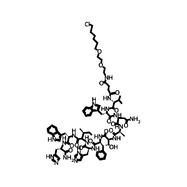 CC[C@H](C)C(NC(=O)[C@H](Cc1cnc[nH]1)NC(=O)[C@H](Cc1ccccc1)NC(=O)C(NC(=O)[C@H](C)NC(=O)C(CC(N)=O)NC(=O)[C@H](Cc1c[nH]c2ccccc12)NC(=O)[C@H](NC(=O)CCC(=O)NCCOCCOCCCCCCCl)C(C)C)[C@@H](C)O)C(=O)N[C@@H](Cc1c[nH]c2ccccc12)C(=O)N[C@@H](Cc1cnc[nH]1)C(N)=O